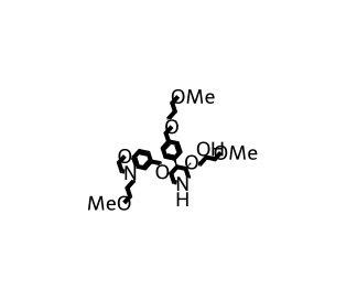 COCCCOCc1ccc([C@@H]2[C@@H](OCc3ccc4c(c3)N(CCCOC)CCO4)CNC[C@H]2OC[C@H](O)COC)cc1